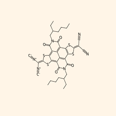 [C-]#[N+]C([N+]#[C-])=c1sc2c(s1)c1c(=O)n(CC(CC)CCCC)c(=O)c3c4sc(=C(C#N)C#N)sc4c4c(=O)n(CC(CC)CCCC)c(=O)c2c4c31